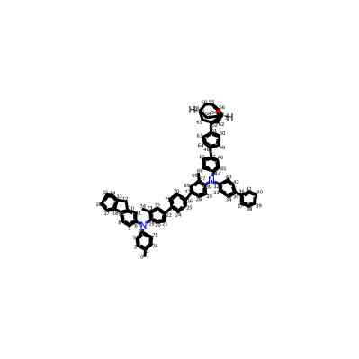 Cc1ccc(N(c2ccc3c(c2)Cc2ccccc2-3)c2ccc(-c3ccc(-c4ccc(N(c5ccc(-c6ccccc6)cc5)c5ccc(-c6ccc(C78CCC9C[C@H](C[C@H](C9)C7)C8)cc6)cc5)c(C)c4)cc3)cc2C)cc1